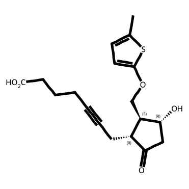 Cc1ccc(OC[C@H]2[C@H](O)CC(=O)[C@@H]2CC#CCCCC(=O)O)s1